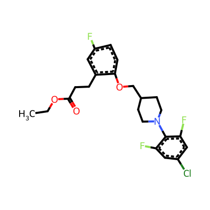 CCOC(=O)CCc1cc(F)ccc1OCC1CCN(c2c(F)cc(Cl)cc2F)CC1